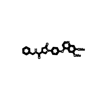 COc1cc2nccc(Oc3ccc(N4CC(C(=O)NCc5ccccc5)CC4=O)cc3)c2cc1OC